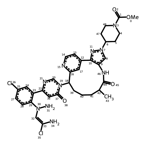 COC(=O)N1CCC(n2cc3c(n2)-c2ccnc(c2)C(n2cnc(-c4cc(Cl)ccc4N(N)/C=C(\N)Cl)cc2=O)CCCC(C)C(=O)N3)CC1